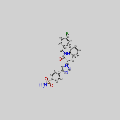 NS(=O)(=O)c1ccc(-c2cn(C(Cc3ccccc3)C(=O)NCc3ccc(F)cc3)nn2)cc1